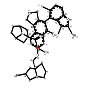 CC(C)(C)OC(=O)N1CC2CCC(C1)N2c1nc(OC[C@@]23CCCN2CC(F)C3)nc2c(F)c(-c3c(F)ccc4oc(N)c(C#N)c34)c3c(c12)COC3